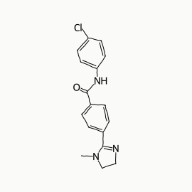 CN1CCN=C1c1ccc(C(=O)Nc2ccc(Cl)cc2)cc1